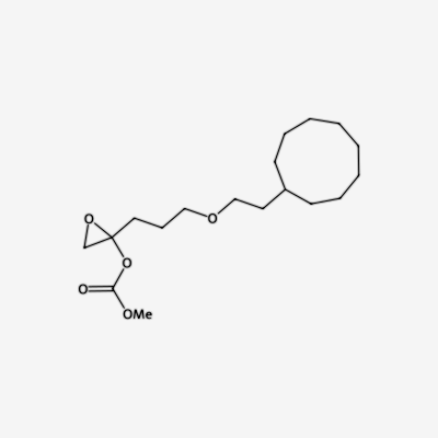 COC(=O)OC1(CCCOCCC2CCCCCCCC2)CO1